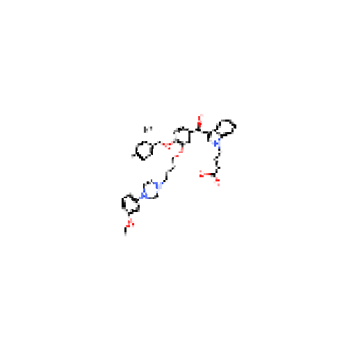 CCOc1cccc(N2CCN(CCCCOc3cc(C(=O)c4cn(CCCC(=O)[O-])c5ccccc45)ccc3OCc3ccc(C)cc3)CC2)c1.[K+]